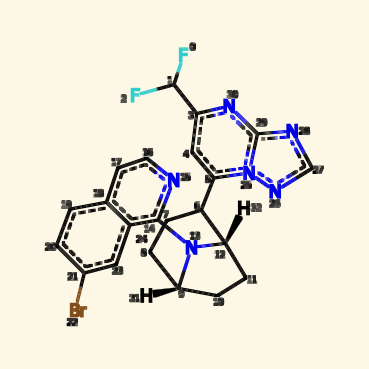 FC(F)c1cc(C2CC[C@H]3CC[C@@H]2N3c2nccc3ccc(Br)cc23)n2ncnc2n1